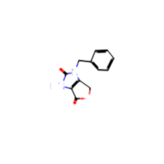 O=C1OCc2c1[nH]c(=O)n2Cc1ccccc1